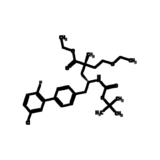 CCOCC[C@](C)(C[C@@H](Cc1ccc(-c2cc(Cl)ccc2F)cc1)NC(=O)OC(C)(C)C)C(=O)OCC